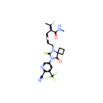 CNC(=O)/C(C=C=CCN1C(=S)N(c2cnc(C#N)c(C(F)(F)F)c2)C(=O)C12CCC2)=C(/C)F